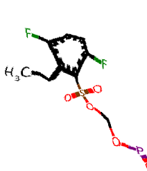 CCc1c(F)ccc(F)c1S(=O)(=O)OCOP=O